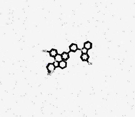 C#C/C=C\C1C(C)C2=C(CCCC2)N1c1cc(C#N)ccc1-c1cccc(C2=CC(N3c4ccc(C#N)cc4C4C=CC=CC43)CC=C2)c1